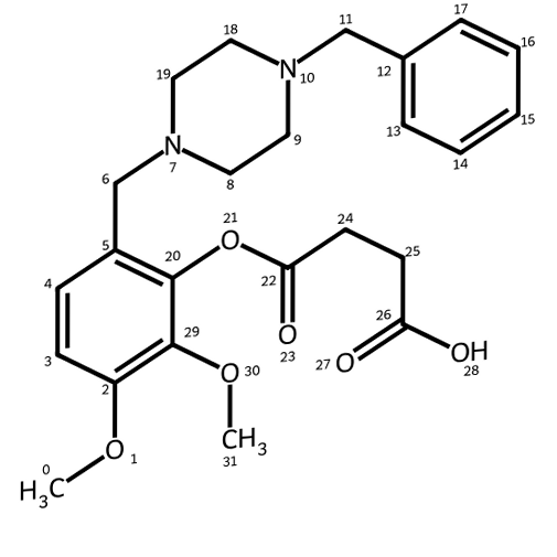 COc1ccc(CN2CCN(Cc3ccccc3)CC2)c(OC(=O)CCC(=O)O)c1OC